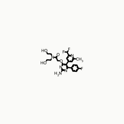 Cc1cc(-c2c(OCC(=O)N(CCO)CCO)nc(N)nc2-c2ccc(F)cc2)cc(C(F)F)n1